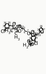 CC(OC(=O)CCCOC(=O)c1cc(S(N)(=O)=O)c(Cl)cc1NCc1ccco1)N(C(C)C(=O)c1cccc(Cl)c1)C(C)(C)C